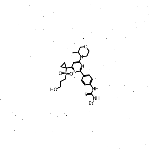 CCNC(=S)Nc1ccc(-c2nc(N3CCOC[C@@H]3C)cc(C3(S(=O)(=O)CCCO)CC3)n2)cc1